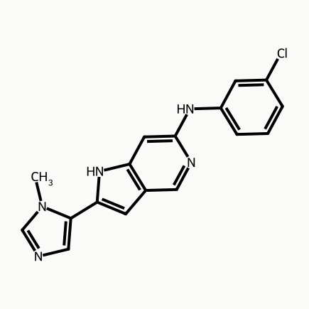 Cn1cncc1-c1cc2cnc(Nc3cccc(Cl)c3)cc2[nH]1